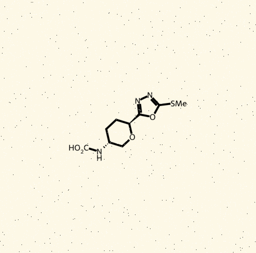 CSc1nnc([C@@H]2CC[C@@H](NC(=O)O)CO2)o1